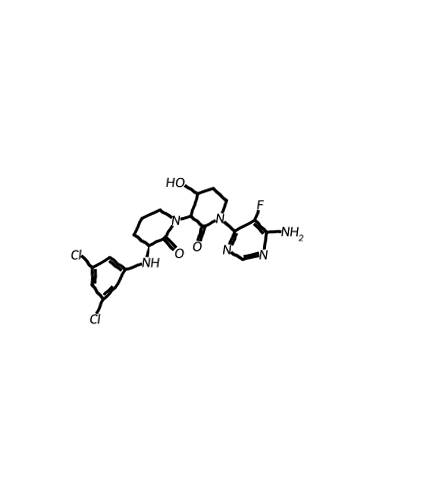 Nc1ncnc(N2CCC(O)C(N3CCC[C@H](Nc4cc(Cl)cc(Cl)c4)C3=O)C2=O)c1F